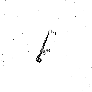 CCCCCCCCCCCCCCC(SCCCOC1CCCCO1)C(=O)O